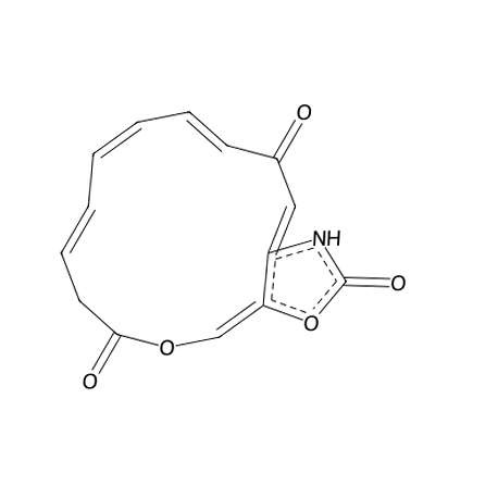 O=C1/C=c2\[nH]c(=O)o\c2=C\OC(=O)C/C=C/C=C\C=C\1